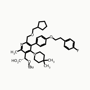 Cc1nc(COCC2CCCC2)c(-c2ccc(OCCc3ccc(F)cc3)cc2)c(N2CCC(C)(C)CC2)c1[C@H](OC(C)(C)C)C(=O)O